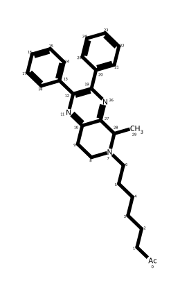 CC(=O)CCCCCCN1CCc2nc(-c3ccccc3)c(-c3ccccc3)nc2C1C